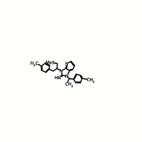 CSCC(Cc1ccc(C)cc1)n1c(=N)n(C(C)c2ccc(C)cc2)c2cccnc21